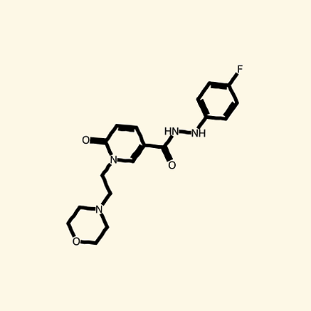 O=C(NNc1ccc(F)cc1)c1ccc(=O)n(CCN2CCOCC2)c1